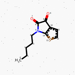 CCCCCN1C(=O)C(=O)c2ccsc21